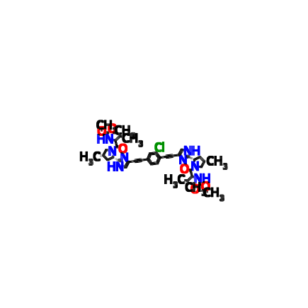 COC(=O)N[C@H](C(=O)N1C[C@@H](C)C[C@H]1c1nc(C#Cc2ccc(C#Cc3c[nH]c([C@@H]4C[C@H](C)CN4C(=O)[C@@H](NC(=O)OC)C(C)C)n3)c(Cl)c2)c[nH]1)C(C)C